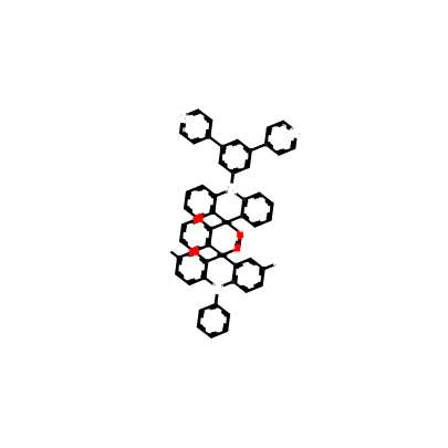 Cc1ccc2c(c1)C1(c3cc(C)ccc3N2c2ccccc2)c2ccccc2C2(c3ccccc3N(c3cc(-c4ccncc4)cc(-c4ccncc4)c3)c3ccccc32)c2ccccc21